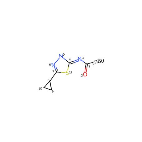 CCCCC(=O)N=C1[N]N=C(C2CC2)S1